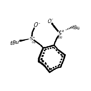 CC(C)(C)[S@@+]([O-])c1ccccc1[S@+]([O-])C(C)(C)C